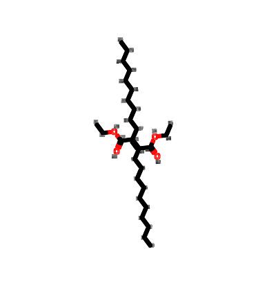 CCCCCCCCCCC(C(=O)OCC)=C(CCCCCCCCCC)C(=O)OCC